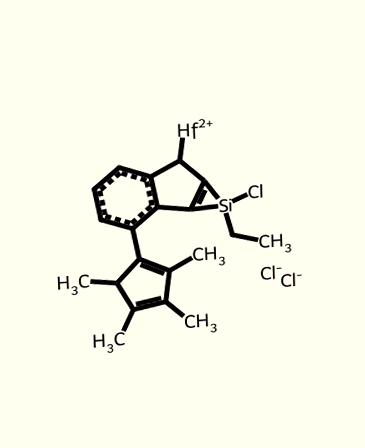 CC[Si]1(Cl)C2=C1[CH]([Hf+2])c1cccc(C3=C(C)C(C)=C(C)C3C)c12.[Cl-].[Cl-]